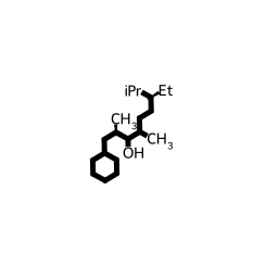 CC[C@@H](CCC(C)C(O)[C@H](C)CC1CCCCC1)C(C)C